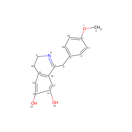 COc1ccc(CC2=NCCc3cc(O)c(O)cc32)cc1